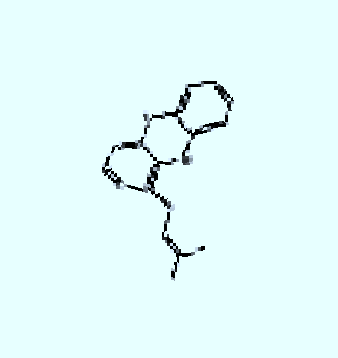 CC(C)=CCc1cccc2c1Nc1ccccc1N2